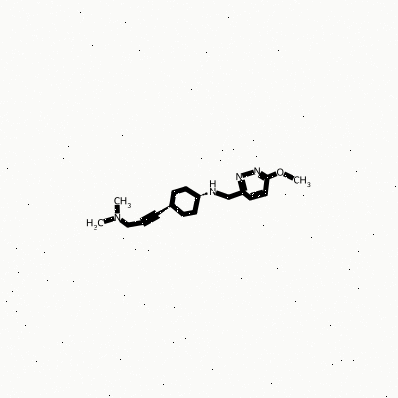 COc1ccc(CN[C@H]2CC[C@H](C#CCN(C)C)CC2)nn1